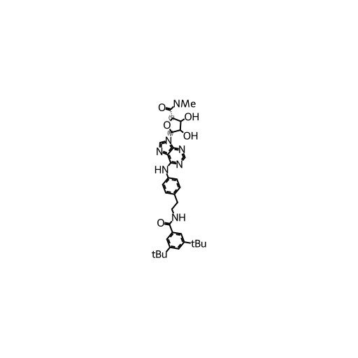 CNC(=O)[C@H]1O[C@@H](n2cnc3c(Nc4ccc(CCNC(=O)c5cc(C(C)(C)C)cc(C(C)(C)C)c5)cc4)ncnc32)C(O)C1O